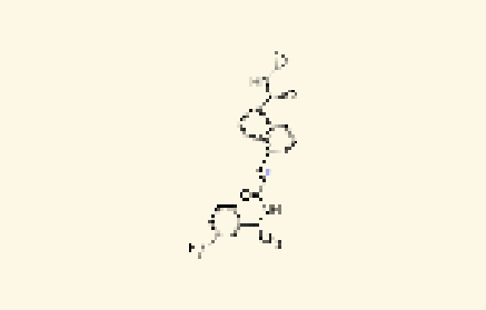 O=C(/C=C/c1cccc2c(C(=O)NC3CC3)cccc12)NC(c1cccc(C(F)(F)F)c1)C(F)(F)F